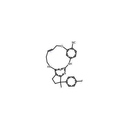 [C-]#[N+]c1ccc2cc1OC/C=C/CCNc1nc(nc3c1CCC3(C)c1ccc(F)cc1)N2